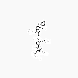 COC(=O)C(CCC(N)=O)NC(=O)c1ccc(NCC#Cc2sc3c(NC4CCN(C)CC4F)cccc3c2CC(F)(F)F)c(OCCO)c1